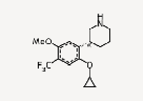 COc1cc([C@H]2CCCNC2)c(OC2CC2)cc1C(F)(F)F